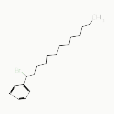 CCCCCCCCCCCCC(Br)c1ccccc1